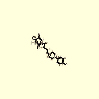 Cc1ccc(N2CCN(CCCCn3cc(C)c(=O)[nH]c3=O)CC2)cc1